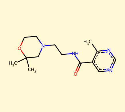 Cc1ncncc1C(=O)NCCN1CCOC(C)(C)C1